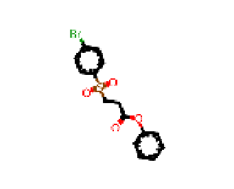 O=C(CCS(=O)(=O)c1ccc(Br)cc1)Oc1ccccc1